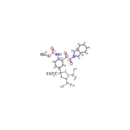 CCOC(=O)C(CCC(F)F)(CCC(F)F)c1ccc(NC(=O)OC(C)(C)C)c(C(=O)C(=O)n2cc3ccccc3c2)c1